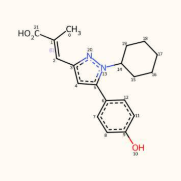 C/C(=C\c1cc(-c2ccc(O)cc2)n(C2CCCCC2)n1)C(=O)O